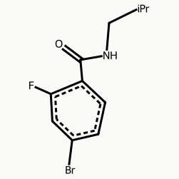 CC(C)CNC(=O)c1ccc(Br)cc1F